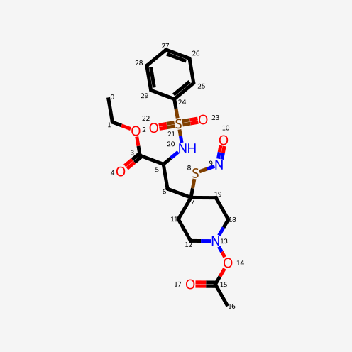 CCOC(=O)C(CC1(SN=O)CCN(OC(C)=O)CC1)NS(=O)(=O)c1ccccc1